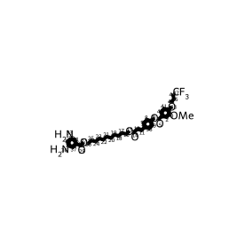 COc1cc(C(=O)Oc2ccc(/C=C/C(=O)OCCCCCCCCCCCOC(=O)c3cc(N)cc(N)c3)cc2)ccc1OCCCC(F)(F)F